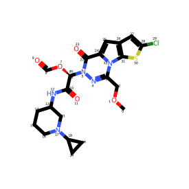 COCc1nn([C@H](OC=O)C(=O)NC2CCCN(C3CC3)C2)c(=O)c2cc3cc(Cl)sc3n12